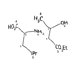 CC(C)CC(N)C(=O)O.CCOC(=O)CC(C)O